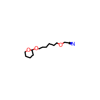 N#CCOCCCCCCOC1CCCCO1